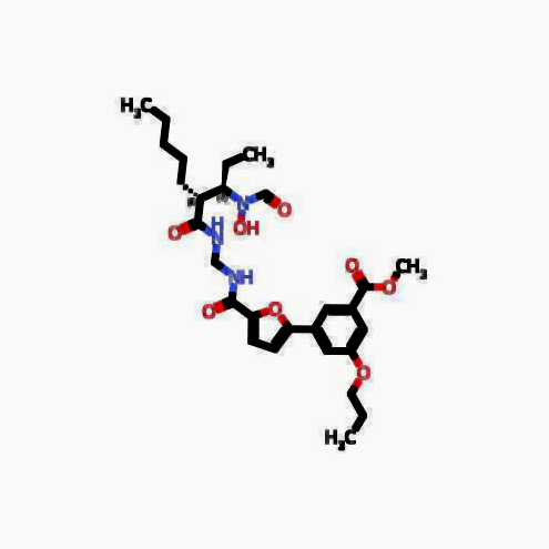 CCCCC[C@@H](C(=O)NCNC(=O)c1ccc(-c2cc(OCCC)cc(C(=O)OC)c2)o1)[C@@H](CC)N(O)C=O